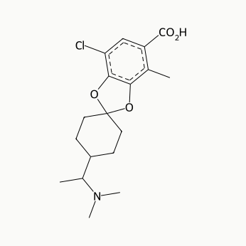 Cc1c(C(=O)O)cc(Cl)c2c1OC1(CCC(C(C)N(C)C)CC1)O2